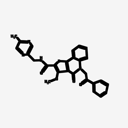 COc1c(C(=O)NCc2cnc(C)cn2)sc2c1c(=O)n(CC(=O)c1ccccc1)c1ccccc21